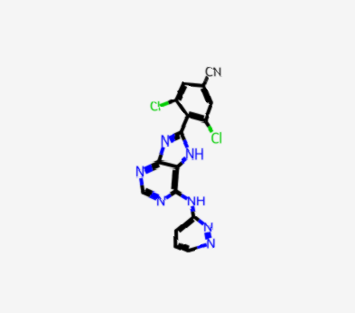 N#Cc1cc(Cl)c(-c2nc3ncnc(Nc4cccnn4)c3[nH]2)c(Cl)c1